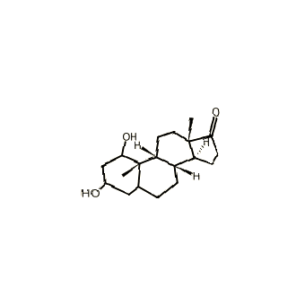 C[C@]12C(O)CC(O)CC1CC[C@@H]1[C@H]2CC[C@]2(C)C(=O)CC[C@@H]12